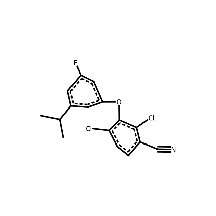 CC(C)c1cc(F)cc(Oc2c(Cl)ccc(C#N)c2Cl)c1